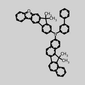 CC1(C)c2cc(N(c3cccc(-c4ccccc4)c3)c3ccc4c5c(ccc4c3)-c3ccc4ccccc4c3C5(C)C)ccc2-c2cc3c(cc21)oc1ccccc13